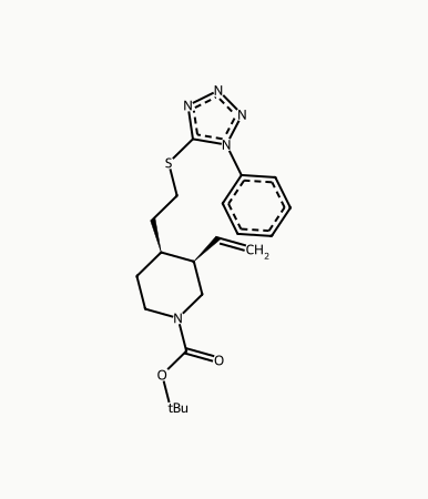 C=C[C@H]1CN(C(=O)OC(C)(C)C)CC[C@H]1CCSc1nnnn1-c1ccccc1